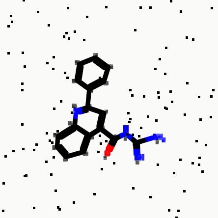 N=C(N)NC(=O)c1cc(-c2ccccc2)nc2ccccc12